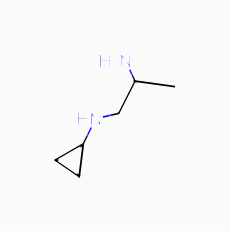 CC(N)CNC1CC1